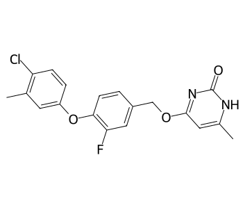 Cc1cc(OCc2ccc(Oc3ccc(Cl)c(C)c3)c(F)c2)nc(=O)[nH]1